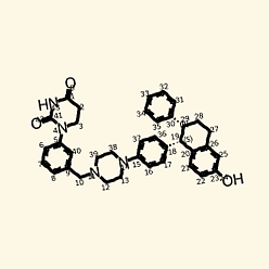 O=C1CCN(c2cccc(CN3CCN(c4ccc([C@H]5c6ccc(O)cc6CC[C@H]5c5ccccc5)cc4)CC3)c2)C(=O)N1